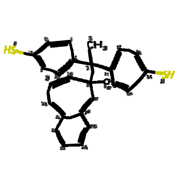 CC1(C(C)(c2ccc(S)cc2)c2ccc(S)cc2)C=CC=c2ccccc2=C1